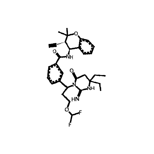 C#C[C@H]1[C@H](NC(=O)c2cccc(C(CCOC(F)F)N3C(=N)NC(CC)(CC)CC3=O)c2)c2ccccc2OC1(C)C